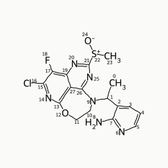 CC(c1cccnc1N)N1CCOc2nc(Cl)c(F)c3nc([S+](C)[O-])nc1c23